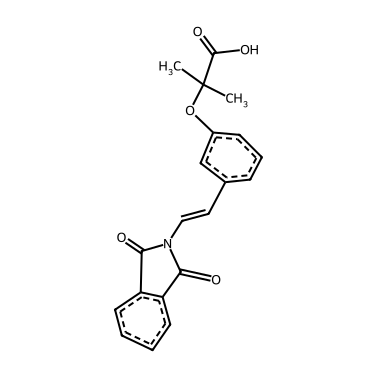 CC(C)(Oc1cccc(/C=C/N2C(=O)c3ccccc3C2=O)c1)C(=O)O